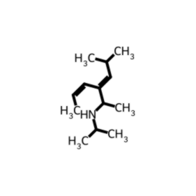 C/C=C\C(=C/C(C)C)C(C)NC(C)C